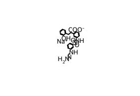 NN=CNc1cccc(S(=O)(=O)Nc2cccc(C(Cc3ccccc3O)C(=O)[O-])c2)c1.[Na+]